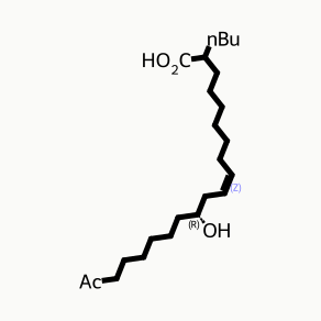 CCCCC(CCCCCC/C=C\C[C@H](O)CCCCCCC(C)=O)C(=O)O